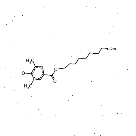 CCCCCCCCCCCCCCCCCCOC(=O)c1cc(C)c(O)c(C)c1